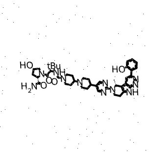 C[C@@H]1c2c([nH]c3nnc(-c4ccccc4O)cc23)CCN1c1ncc(C2CCN(C3CCN(C(=O)N[C@H](C(=O)N4C[C@H](O)C[C@H]4C(N)=O)C(C)(C)C)CC3)CC2)cn1